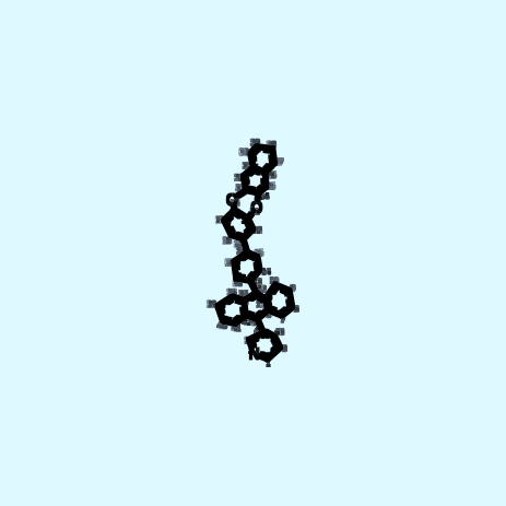 c1cncc(-c2c3ccccc3c(-c3ccc(-c4ccc5c(c4)Oc4cc6ccccc6cc4O5)cc3)c3ccccc23)c1